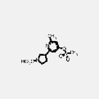 Cc1cc(OS(=O)(=O)C(F)(F)F)cc(C2CCN(C(=O)O)C2)n1